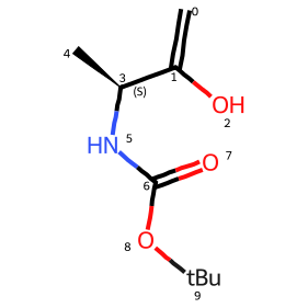 C=C(O)[C@H](C)NC(=O)OC(C)(C)C